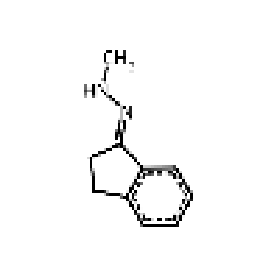 CNN=C1CCc2ccccc21